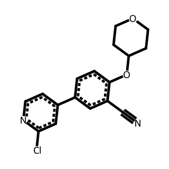 N#Cc1cc(-c2ccnc(Cl)c2)ccc1OC1CCOCC1